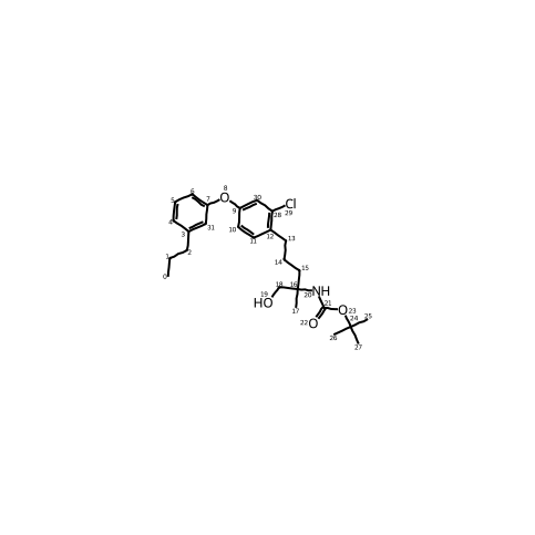 CCCc1cccc(Oc2ccc(CCCC(C)(CO)NC(=O)OC(C)(C)C)c(Cl)c2)c1